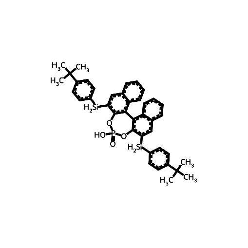 CC(C)(C)c1ccc([SiH2]c2cc3ccccc3c3c2OP(=O)(O)Oc2c([SiH2]c4ccc(C(C)(C)C)cc4)cc4ccccc4c2-3)cc1